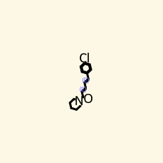 O=C(/C=C/C=C/c1ccc(Cl)cc1)N1CCCCC1